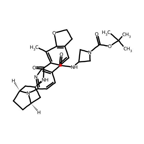 Cc1c(C(=O)N[C@H]2C[C@H]3CC[C@@H](C2)N3c2ccc(C(=O)NC3CN(C(=O)OC(C)(C)C)C3)cn2)ccc2c1OCC2